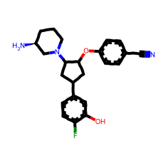 N#Cc1ccc(OC2CC(c3ccc(F)c(O)c3)CC2N2CCC[C@H](N)C2)cc1